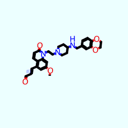 COc1cc(/C=C/C=O)c2ccc(=O)n(CCN3CCC(NCc4ccc5c(c4)OCCO5)CC3)c2c1